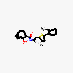 Cc1ccccc1-c1ccc(/C=C(/NC(=O)c2ccccc2O)C(=O)O)s1